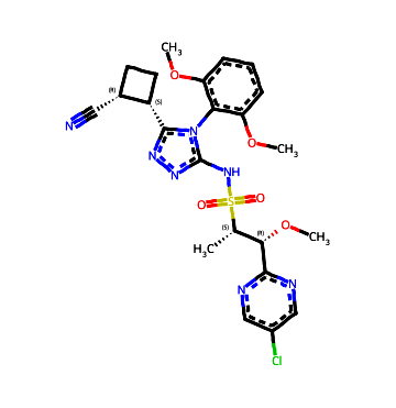 COc1cccc(OC)c1-n1c(NS(=O)(=O)[C@@H](C)[C@H](OC)c2ncc(Cl)cn2)nnc1[C@H]1CC[C@H]1C#N